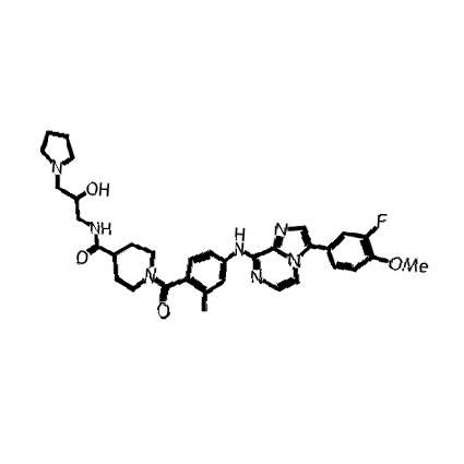 COc1ccc(-c2cnc3c(Nc4ccc(C(=O)N5CCC(C(=O)NCC(O)CN6CCCC6)CC5)c(C)c4)nccn23)cc1F